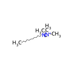 CCCCCCCCCCCCCn1cc[n+](CCC)c1C(C)C